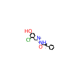 CN(C)[C@H](CNC(=O)C1=C[C@@]1(C)c1ccccc1)Cc1ccc(O)cc1Cl